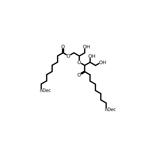 CCCCCCCCCCCCCCCCCC(=O)OCC(CO)OC(C(=O)CCCCCCCCCCCCCCCCC)C(O)CO